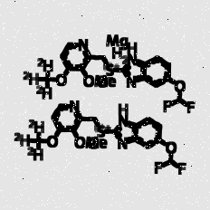 [2H]C([2H])([2H])Oc1ccnc(C[S@@+]([O-])c2nc3cc(OC(F)F)ccc3[nH]2)c1OC.[2H]C([2H])([2H])Oc1ccnc(C[S@@+]([O-])c2nc3cc(OC(F)F)ccc3[nH]2)c1OC.[MgH2]